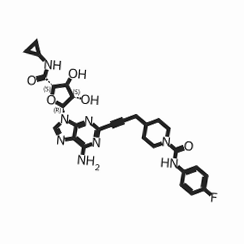 Nc1nc(C#CCC2CCN(C(=O)Nc3ccc(F)cc3)CC2)nc2c1ncn2[C@@H]1O[C@H](C(=O)NC2CC2)C(O)[C@@H]1O